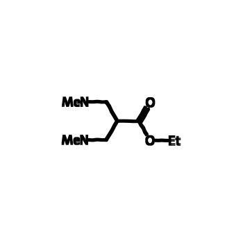 CCOC(=O)C(CNC)CNC